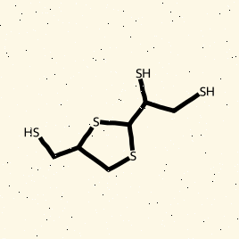 SCC1CSC(C(S)CS)S1